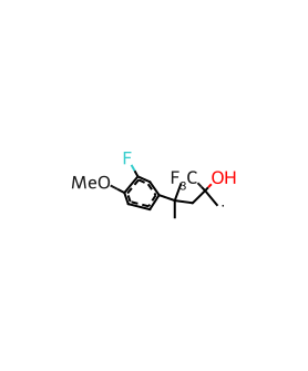 [CH2]C(O)(CC(C)(C)c1ccc(OC)c(F)c1)C(F)(F)F